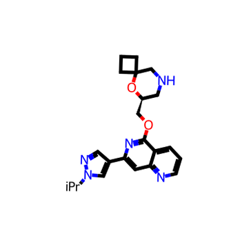 CC(C)n1cc(-c2cc3ncccc3c(OC[C@@H]3CNCC4(CCC4)O3)n2)cn1